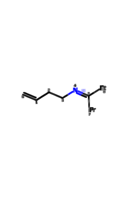 C=CCC/N=C(/CC)C(C)C